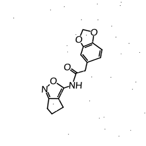 O=C(Cc1ccc2c(c1)OCO2)Nc1onc2c1CCC2